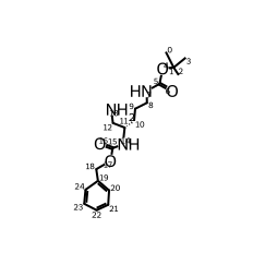 CC(C)(C)OC(=O)NCCC[C@@H](CN)NC(=O)OCc1ccccc1